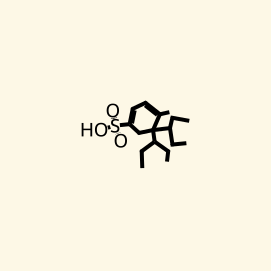 CCC(CC)C1(C(CC)CC)CC(S(=O)(=O)O)=CC=C1C